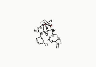 N#C[C@@H](C[C@@H]1CCNC1=O)NC(=O)[C@H]1[C@H]2CC[C@H](CC2(F)F)N1C(=O)[C@@H](O)c1cccc(Cl)c1